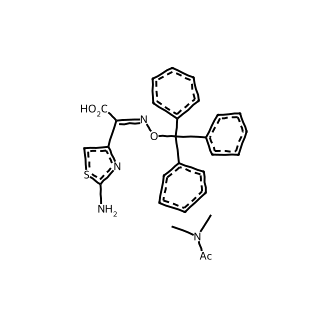 CC(=O)N(C)C.Nc1nc(C(=NOC(c2ccccc2)(c2ccccc2)c2ccccc2)C(=O)O)cs1